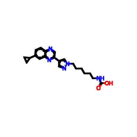 O=C(O)NCCCCCCn1cc(-c2cnc3ccc(C4CC4)cc3n2)cn1